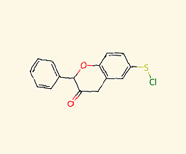 O=C1Cc2cc(SCl)ccc2OC1c1ccccc1